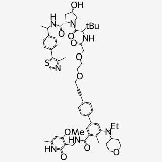 CCN(c1cc(-c2ccc(C#CCOCCOCC(=O)NC(C(=O)N3C[C@H](O)C[C@H]3C(=O)NC(C)c3ccc(-c4scnc4C)cc3)C(C)(C)C)cc2)cc(C(=O)NCc2c(OC)cc(C)[nH]c2=O)c1C)C1CCOCC1